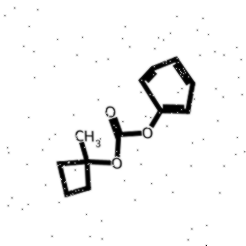 CC1(OC(=O)Oc2ccccc2)CCC1